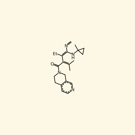 C=N/C(NC1(C)CC1)=C(\CC)C(C(=O)N1CCc2ccncc2C1)=C(C)C